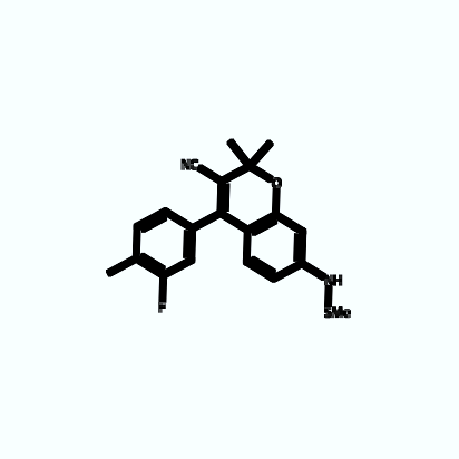 CSNc1ccc2c(c1)OC(C)(C)C(C#N)=C2c1ccc(C)c(F)c1